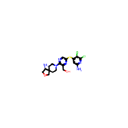 Nc1cc(Sc2cnc(N3CCC4(CC3)COC[C@H]4N)c(CO)n2)c(Cl)c(Cl)n1